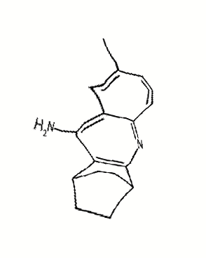 Cc1ccc2nc3c(c(N)c2c1)C1CCC3CC1